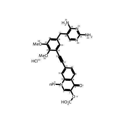 CCCn1cc(OC(=O)O)c(=O)c2ccc(C#Cc3cc(Cc4cnc(N)nc4N)cc(OC)c3OC)cc21.Cl